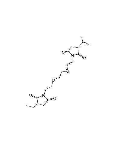 CCC1CC(=O)N(CCOCCOCCN2C(=O)CC(C(C)C)C2=O)C1=O